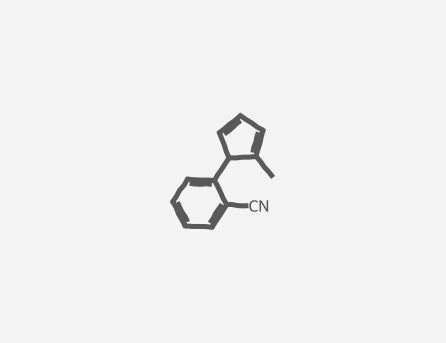 CC1=CC=CC1c1ccccc1C#N